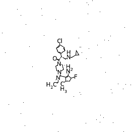 C=C/N=C(\C1=C(N)[C@@H](F)C[C@H]1C)N1CCN(C(=O)[C@H](CNCC2CC2)c2ccc(Cl)cc2)CC1